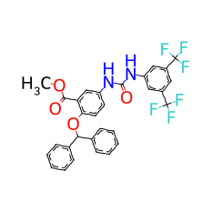 COC(=O)c1cc(NC(=O)Nc2cc(C(F)(F)F)cc(C(F)(F)F)c2)ccc1OC(c1ccccc1)c1ccccc1